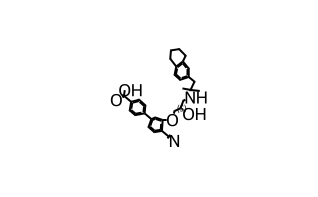 CC(C)(Cc1ccc2c(c1)CCCC2)NC[C@H](O)COc1cc(-c2ccc(C(=O)O)cc2)ccc1C#N